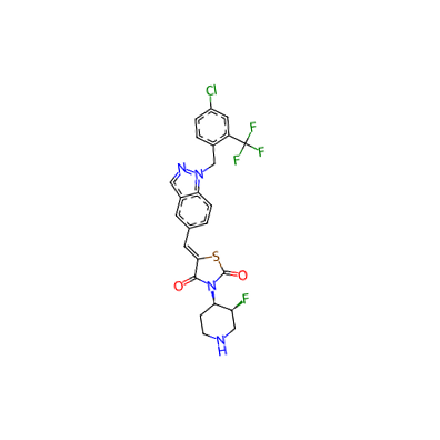 O=C1S/C(=C\c2ccc3c(cnn3Cc3ccc(Cl)cc3C(F)(F)F)c2)C(=O)N1[C@@H]1CCNC[C@@H]1F